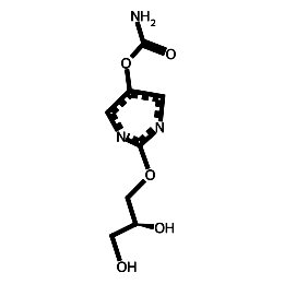 NC(=O)Oc1cnc(OC[C@@H](O)CO)nc1